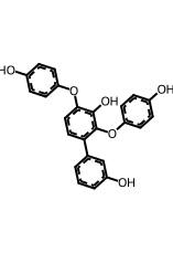 Oc1ccc(Oc2ccc(-c3cccc(O)c3)c(Oc3ccc(O)cc3)c2O)cc1